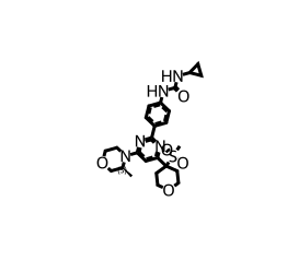 C[C@H]1COCCN1c1cc(C2(S(C)(=O)=O)CCOCC2)nc(-c2ccc(NC(=O)NC3CC3)cc2)n1